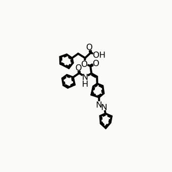 O=C(OC(Cc1ccccc1)C(=O)O)/C(=C/c1ccc(/N=N/c2ccccc2)cc1)NC(=O)c1ccccc1